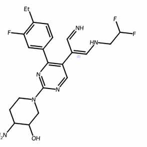 CCc1ccc(-c2nc(N3CCC(N)C(O)C3)ncc2/C(C=N)=C/NCC(F)F)cc1F